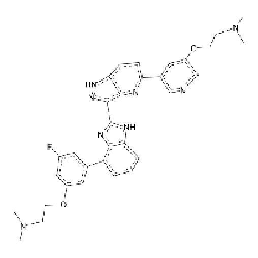 CN(C)CCOc1cncc(-c2ccc3[nH]nc(-c4nc5c(-c6cc(F)cc(OCCN(C)C)c6)cccc5[nH]4)c3n2)c1